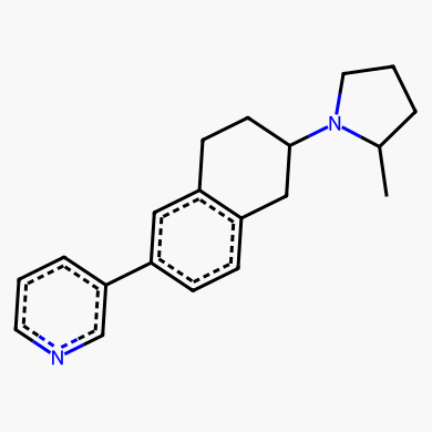 CC1CCCN1C1CCc2cc(-c3cccnc3)ccc2C1